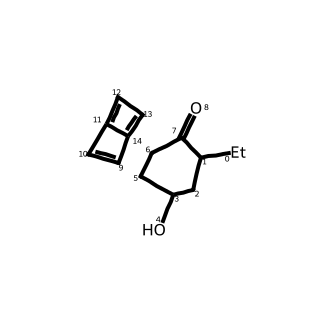 CCC1CC(O)CCC1=O.c1cc2ccc1-2